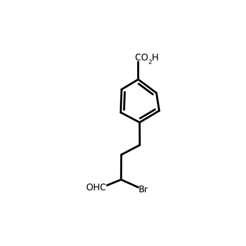 O=CC(Br)CCc1ccc(C(=O)O)cc1